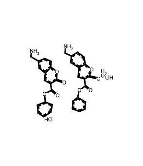 Cl.Cl.NCc1ccc2oc(=O)c(C(=O)Oc3ccccc3)cc2c1.NCc1ccc2oc(=O)c(C(=O)Oc3ccccc3)cc2c1.O